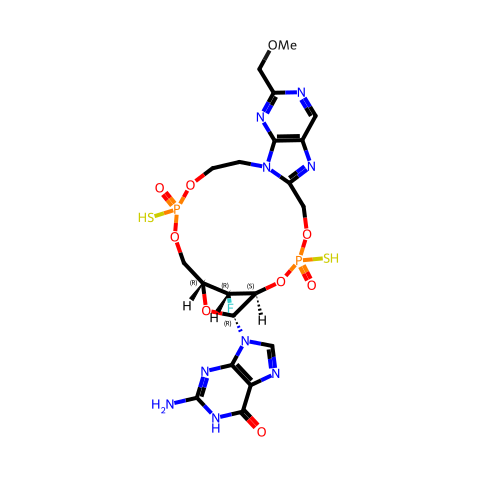 COCc1ncc2nc3n(c2n1)CCOP(=O)(S)OC[C@H]1O[C@@H](n2cnc4c(=O)[nH]c(N)nc42)[C@H](OP(=O)(S)OC3)[C@@H]1F